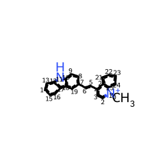 C[n+]1ccc(/C=C/c2ccc3[nH]c4ccccc4c3c2)c2ccccc21